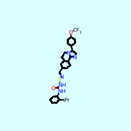 CC(C)c1ccccc1NC(=O)NS/N=C/c1ccc2c(ccn3c(-c4ccc(OC(F)(F)F)cc4)cnc23)c1